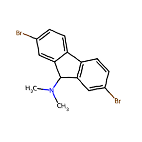 CN(C)C1c2cc(Br)ccc2-c2ccc(Br)cc21